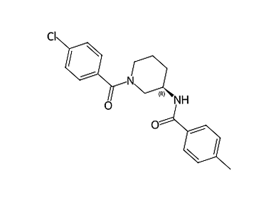 Cc1ccc(C(=O)N[C@@H]2CCCN(C(=O)c3ccc(Cl)cc3)C2)cc1